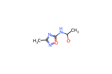 Cc1noc(NC(C)[O])n1